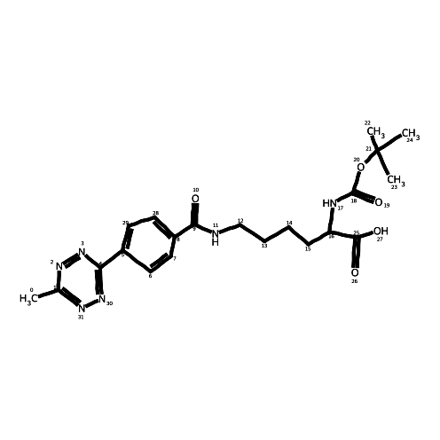 Cc1nnc(-c2ccc(C(=O)NCCCCC(NC(=O)OC(C)(C)C)C(=O)O)cc2)nn1